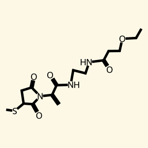 C=C(C(=O)NCCNC(=O)CCOCC)N1C(=O)CC(SC)C1=O